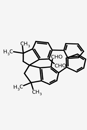 CC1(C)CC2(CC(C)(C)c3ccc(-c4ccccc4)c(C=O)c32)c2c1ccc(-c1ccccc1)c2C=O